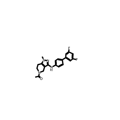 CC(=O)N1CCc2c(c(Nc3ccc(-c4cc(F)cc(F)c4)cc3)nn2C)C1